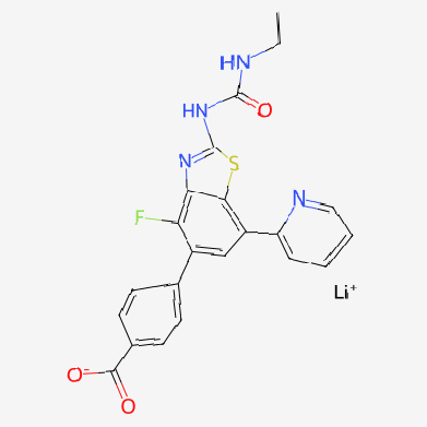 CCNC(=O)Nc1nc2c(F)c(-c3ccc(C(=O)[O-])cc3)cc(-c3ccccn3)c2s1.[Li+]